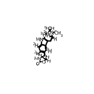 [2H]c1[nH]c2c([2H])c([2H])c(C[C@]3([2H])NC(=O)OC3([2H])[2H])c([2H])c2c1CC([2H])([2H])N(C)C([2H])([2H])[2H]